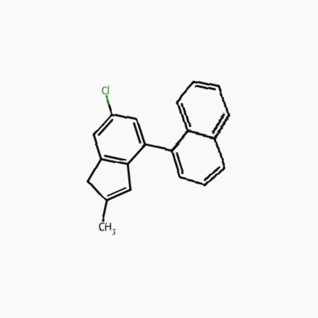 CC1=Cc2c(cc(Cl)cc2-c2cccc3ccccc23)C1